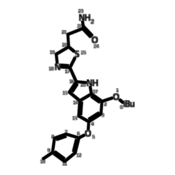 CCC(C)Oc1cc(Oc2ccc(C)cc2)cc2cc(C3=NCC(CC(N)=O)S3)[nH]c12